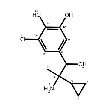 CC(N)(C1CC1)C(O)c1cc(O)c(O)c(Cl)c1